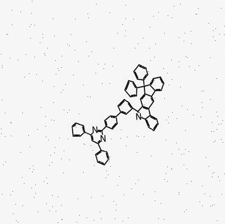 c1ccc(-c2cc(-c3ccccc3)nc(-c3ccc(-c4cccc(-c5nc6ccccc6c6cc7c(cc56)C(c5ccccc5)(c5ccccc5)c5ccccc5-7)c4)cc3)n2)cc1